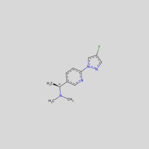 C[C@@H](c1ccc(-n2cc(F)cn2)nc1)N(C)C